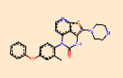 Cc1cc(Oc2ccccc2)ccc1N1C(=O)Nc2c(N3CCNCC3)sc3nccc1c23